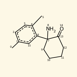 Cc1ccc(C)c(C2(N)CCCCC2=O)c1